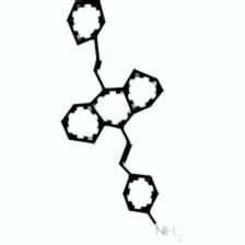 Nc1ccc(C=Cc2c3ccccc3c(C=Cc3ccccc3)c3ccccc23)cc1